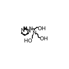 NC(CO)N(CCO)CCO.c1cnnnc1